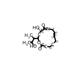 CC(C1C[C@H](O)C(=O)NC/C=C/CCCCC(=O)O1)[C@@H](C)O